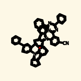 N#Cc1ccc(-n2c3ccccc3c3cc(-c4cc(-c5ccccc5)ccc4-n4c5ccccc5c5ccccc54)ccc32)c(-c2nc(-c3ccccc3)nc(-c3ccccc3)n2)c1